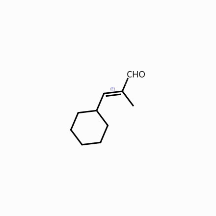 C/C(C=O)=C\C1CCCCC1